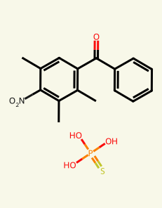 Cc1cc(C(=O)c2ccccc2)c(C)c(C)c1[N+](=O)[O-].OP(O)(O)=S